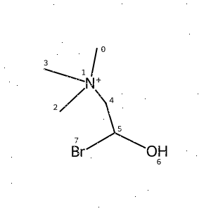 C[N+](C)(C)CC(O)Br